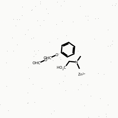 CN(C)CC(=O)O.O=C[O-].O=C[O-].[Zn+2].c1ccccc1